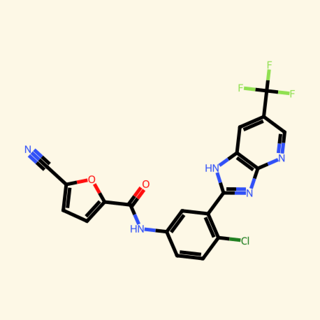 N#Cc1ccc(C(=O)Nc2ccc(Cl)c(-c3nc4ncc(C(F)(F)F)cc4[nH]3)c2)o1